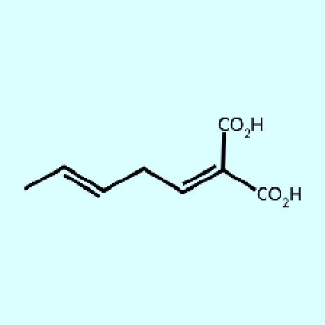 CC=CCC=C(C(=O)O)C(=O)O